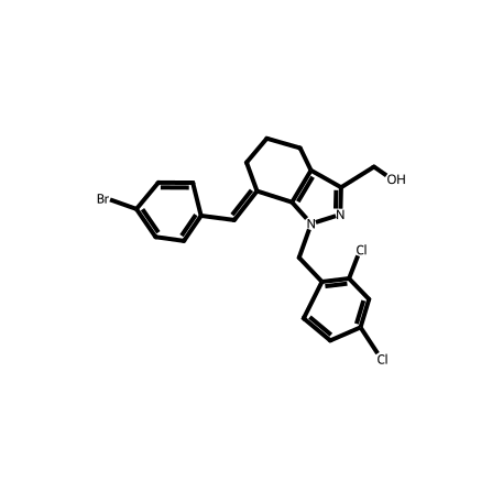 OCc1nn(Cc2ccc(Cl)cc2Cl)c2c1CCC/C2=C\c1ccc(Br)cc1